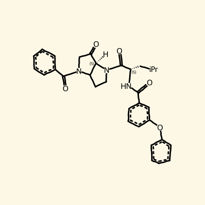 CC(C)C[C@H](NC(=O)c1cccc(Oc2ccccc2)c1)C(=O)N1CCC2[C@H]1C(=O)CN2C(=O)c1ccccc1